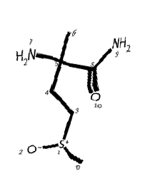 C[S+]([O-])CCC(C)(N)C(N)=O